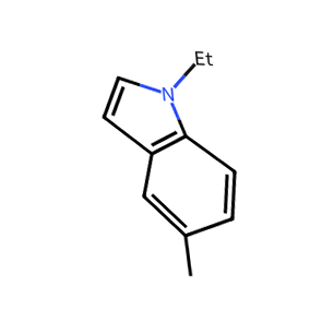 CCn1ccc2cc(C)ccc21